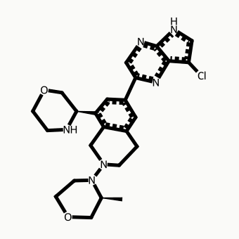 C[C@H]1COCCN1N1CCc2cc(-c3cnc4[nH]cc(Cl)c4n3)cc([C@@H]3COCCN3)c2C1